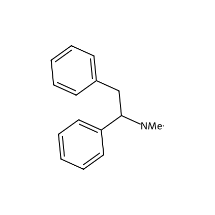 C[N]C(Cc1ccccc1)c1ccccc1